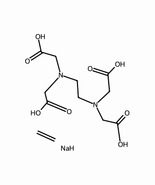 C=C.O=C(O)CN(CCN(CC(=O)O)CC(=O)O)CC(=O)O.[NaH]